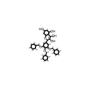 Oc1cc(O)c2c(c1)OC(c1cc(OCc3ccccc3)c(OCc3ccccc3)c(OCc3ccccc3)c1)C(O)C2O